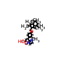 Bc1cc2c(cc1COc1ccc([C@H](CC(=O)O)c3nccn3C)cc1)C(C)(C)CCC2(C)C